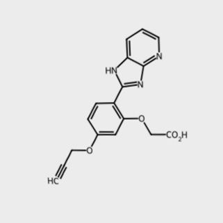 C#CCOc1ccc(-c2nc3ncccc3[nH]2)c(OCC(=O)O)c1